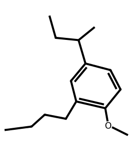 CCCCc1cc(C(C)CC)ccc1OC